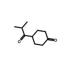 CC(C)C(=O)C1CCC(=O)CC1